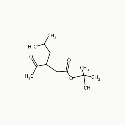 CC(=O)C(CC(=O)OC(C)(C)C)CC(C)C